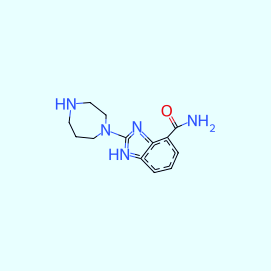 NC(=O)c1cccc2[nH]c(N3CCCNCC3)nc12